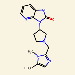 Cn1c(C(=O)O)cnc1CN1CCC(n2c(=O)[nH]c3cccnc32)C1